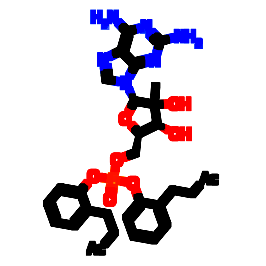 CC(=O)CCc1ccccc1OP(=O)(OC[C@H]1O[C@@H](n2cnc3c(N)nc(N)nc32)C(C)(O)[C@H]1O)Oc1ccccc1CCC(C)=O